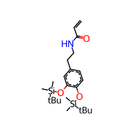 C=CC(=O)NCCc1ccc(O[Si](C)(C)C(C)(C)C)c(O[Si](C)(C)C(C)(C)C)c1